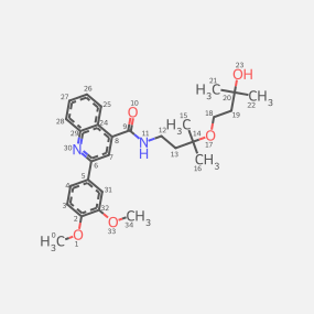 COc1ccc(-c2cc(C(=O)NCCC(C)(C)OCCC(C)(C)O)c3ccccc3n2)cc1OC